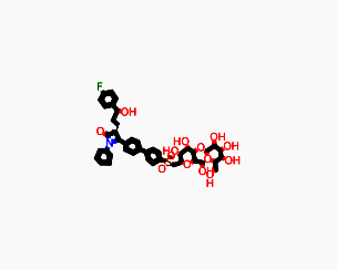 O=C1[C@H](CCC(O)c2ccc(F)cc2)C(c2ccc(-c3ccc(S(=O)(=O)CC4OC(CO)C(OC5OC(CO)C(O)C(O)C5O)C(O)C4O)cc3)cc2)N1c1ccccc1